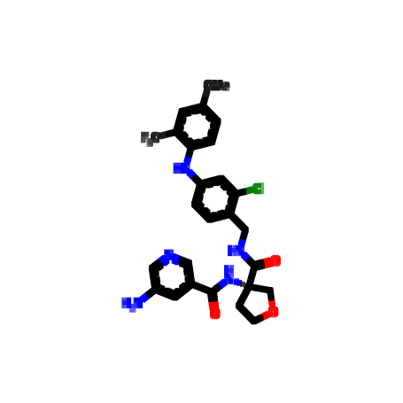 COc1ccc(Nc2ccc(CNC(=O)[C@]3(NC(=O)c4cncc(N)c4)CCOC3)c(Cl)c2)c(C(F)(F)F)c1